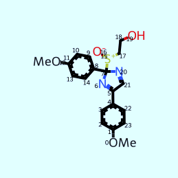 COc1ccc(C2=NC(c3ccc(OC)cc3)([S+]([O-])CCO)N=C2)cc1